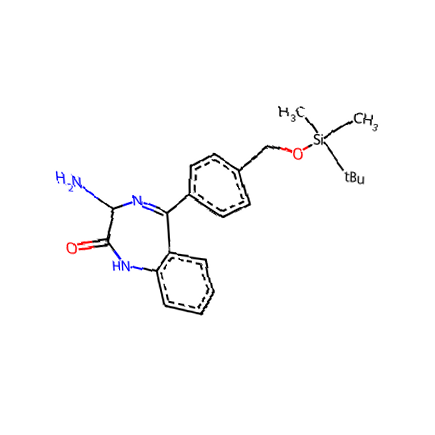 CC(C)(C)[Si](C)(C)OCc1ccc(C2=NC(N)C(=O)Nc3ccccc32)cc1